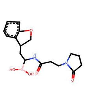 O=C(CCN1CCCC1=O)NC(CC1COc2ccccc21)B(O)O